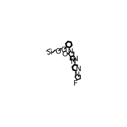 C[Si](C)(C)CCOCOc1ccccc1N1Cc2nn(-c3ccc(N4CC[C@H](F)C4)nc3)cc2C1=O